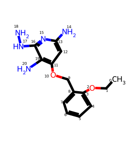 CCOc1ccccc1COc1cc(N)nc(NN)c1N